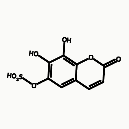 O=c1ccc2cc(OS(=O)(=O)O)c(O)c(O)c2o1